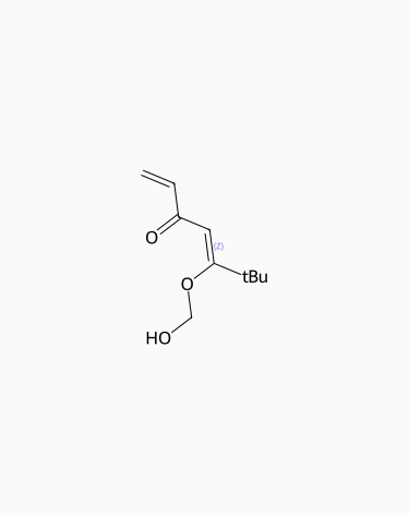 C=CC(=O)/C=C(\OCO)C(C)(C)C